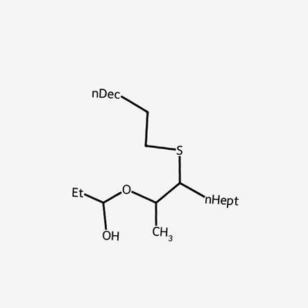 CCCCCCCCCCCCSC(CCCCCCC)C(C)OC(O)CC